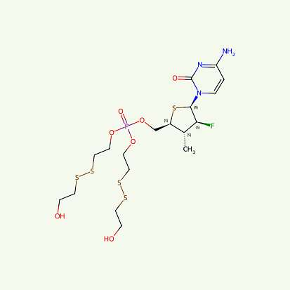 C[C@H]1[C@H](F)[C@H](n2ccc(N)nc2=O)S[C@@H]1COP(=O)(OCCSSCCO)OCCSSCCO